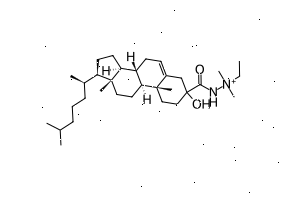 CC[N+](C)(C)NC(=O)C1(O)CC[C@@]2(C)C(=CC[C@H]3[C@@H]4CC[C@H]([C@H](C)CCCC(C)C)[C@@]4(C)CC[C@@H]32)C1